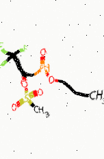 CCCO[PH](=O)C(OS(C)(=O)=O)C(F)(F)F